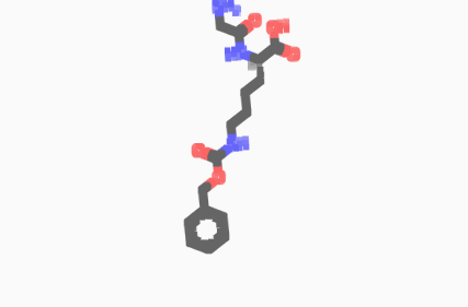 NCC(=O)N[C@@H](CCCCNC(=O)OCc1ccccc1)C(=O)O